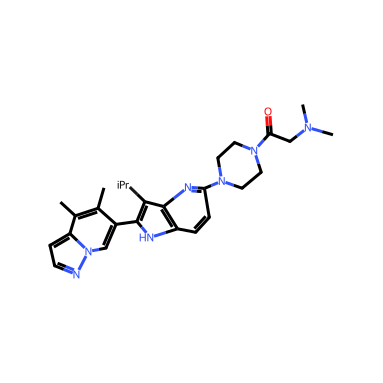 Cc1c(-c2[nH]c3ccc(N4CCN(C(=O)CN(C)C)CC4)nc3c2C(C)C)cn2nccc2c1C